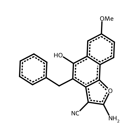 COc1ccc2c(c1)c(O)c(Cc1ccccc1)c1c(C#N)c(N)oc12